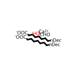 CCCCCCCCCCCCCCCCCC(=O)[O-].CCCCCCCCCCCCCCCCCC(=O)[O-].O=CO.[Ca+2]